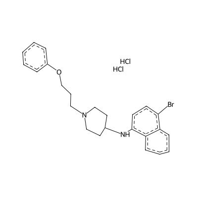 Brc1ccc(NC2CCN(CCCOc3ccccc3)CC2)c2ccccc12.Cl.Cl